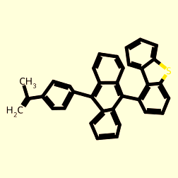 C=C(C)c1ccc(-c2c3ccccc3c(-c3cccc4sc5ccccc5c34)c3ccccc23)cc1